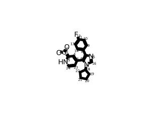 O=S(=O)=c1cc(-c2c(-c3ccc(F)cc3)ncn2C2CCCC2)cc[nH]1